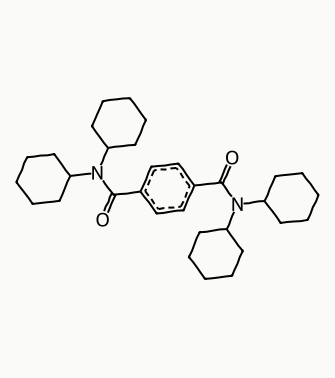 O=C(c1ccc(C(=O)N(C2CCCCC2)C2CCCCC2)cc1)N(C1CCCCC1)C1CCCCC1